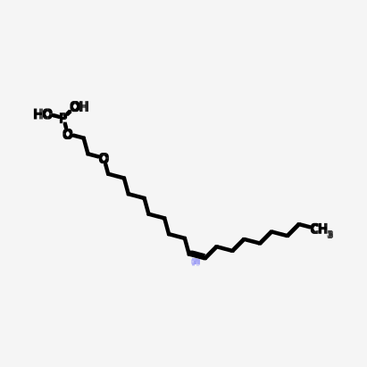 CCCCCCCC/C=C\CCCCCCCCOCCOP(O)O